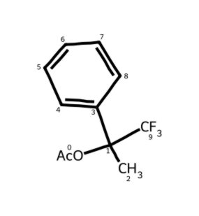 CC(=O)OC(C)(c1ccccc1)C(F)(F)F